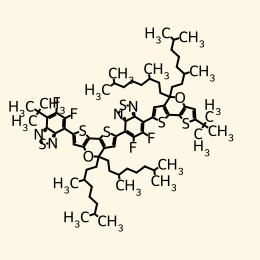 CC(C)CCCC(C)CCC1(CCC(C)CCCC(C)C)Oc2cc(-c3c(F)c(F)c(C(C)(C)C)c4nsnc34)sc2-c2sc(-c3c(F)c(F)c(-c4cc5c(s4)-c4sc(C(C)(C)C)cc4OC5(CCC(C)CCCC(C)C)CCC(C)CCCC(C)C)c4nsnc34)cc21